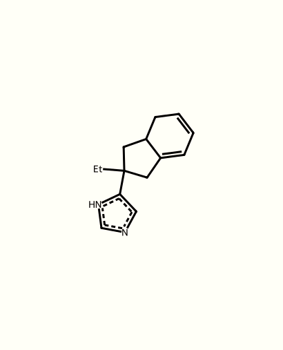 CCC1(c2cnc[nH]2)CC2=CC=CCC2C1